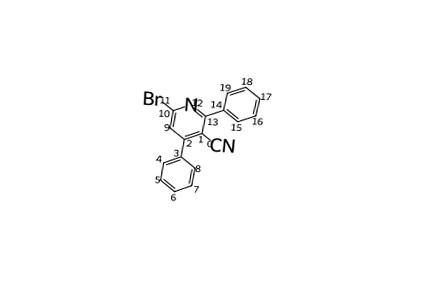 N#Cc1c(-c2ccccc2)cc(Br)nc1-c1ccccc1